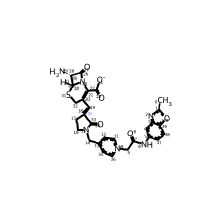 Cc1nc2cc(NC(=O)C[n+]3ccc(CN4CC/C(=C\C5=C(C(=O)[O-])N6C(=O)[C@@H](N)[C@H]6SC5)C4=O)cc3)ccc2o1